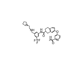 CNC(=O)c1cc(Oc2ccc3c(c2)CC(C(=O)Nc2cc(CNCCN4CCCC4)cc(C(F)(F)F)c2)CC3)ccn1